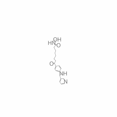 O=C(CCCCCCC(=O)c1ccc(NCc2cccnc2)cc1)NO